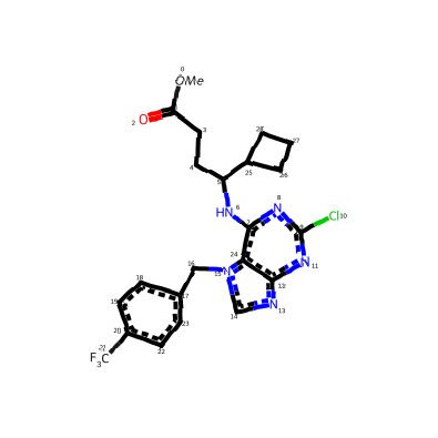 COC(=O)CCC(Nc1nc(Cl)nc2ncn(Cc3ccc(C(F)(F)F)cc3)c12)C1CCC1